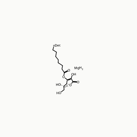 CCCCCCCCCCCCCCCCCC(=O)OC1=C(O)C(=O)O[C@@H]1[C@@H](O)CO.[MgH2]